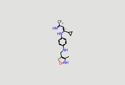 CC1=C(CNc2ccc(N/C(=C\C(=N)C(F)(F)F)C3CC3)cc2)SON1